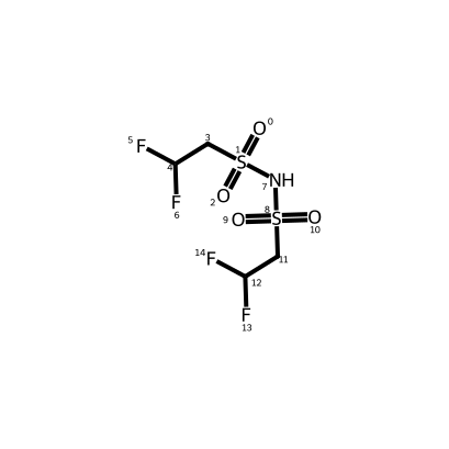 O=S(=O)(CC(F)F)NS(=O)(=O)CC(F)F